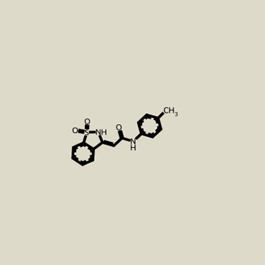 Cc1ccc(NC(=O)C=C2NS(=O)(=O)c3ccccc32)cc1